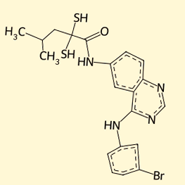 CC(C)CC(S)(S)C(=O)Nc1ccc2ncnc(Nc3cccc(Br)c3)c2c1